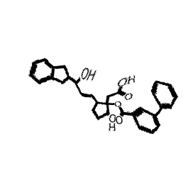 O=C(O)CC1(OC(=O)c2cccc(-c3ccccc3)c2)C(O)CCC1C=CC(O)C1Cc2ccccc2C1